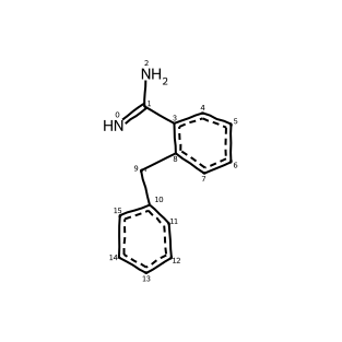 N=C(N)c1ccccc1[CH]c1ccccc1